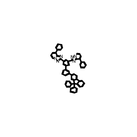 c1ccc(-c2cccn3nc(-c4cc(-c5cccc(-c6ccc7c(c6)C(c6ccccc6)(c6ccccc6)c6ccccc6-7)c5)cc(-c5nc6c(-c7ccccc7)cccn6n5)c4)nc23)cc1